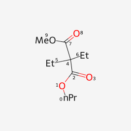 CCCOC(=O)C(CC)(CC)C(=O)OC